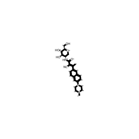 C/C(=C(/C#N)C(=O)N[C@H]1CO[C@H](CO)[C@@H](O)[C@@H]1O)c1ccc2cc(N3CCN(C)CC3)ccc2c1